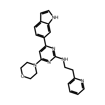 c1ccc(CCNc2nc(-c3ccc4cc[nH]c4c3)cc(N3CCOCC3)n2)nc1